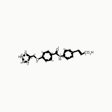 O=C(O)/C=C/c1ccc(NC(=O)c2ccc(OCc3nn[nH]n3)cc2)cc1